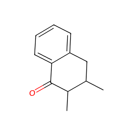 CC1Cc2ccccc2C(=O)C1C